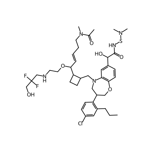 CCCc1cc(Cl)ccc1C1COc2ccc(C(O)C(=O)NSN(C)C)cc2N(CC2CCC2C(/C=C/CCN(C)C(C)=O)OCCNCC(F)(F)CO)C1